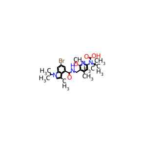 COc1nc(N(C(=O)O)C(C)(C)C)cc(C)c1CNC(=O)c1cc(Br)cc2c1c(C)cn2C(C)C